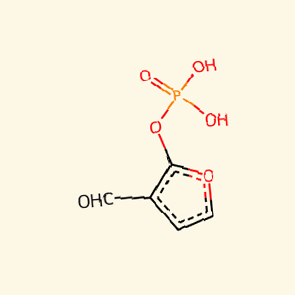 O=Cc1ccoc1OP(=O)(O)O